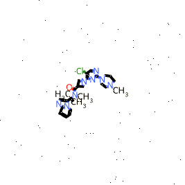 CN1CCCN(c2ncc(Cl)c(N3CC(C(=O)N(C)C(C)(C)c4cnc5ccccn45)C3)n2)CC1